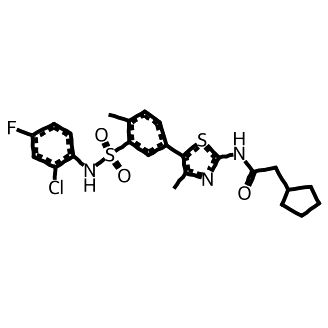 Cc1ccc(-c2sc(NC(=O)CC3CCCC3)nc2C)cc1S(=O)(=O)Nc1ccc(F)cc1Cl